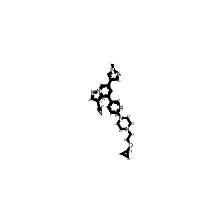 Cn1cc(-c2cc(-c3ccc(N4CCN(CCOC5CC5)CC4)nc3)c3c(C#N)cnn3c2)cn1